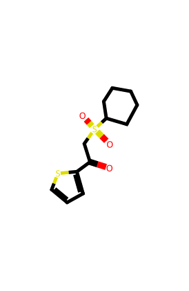 O=C(CS(=O)(=O)C1CCCCC1)c1cccs1